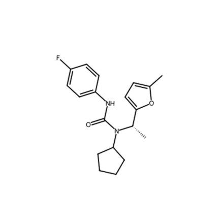 Cc1ccc([C@H](C)N(C(=O)Nc2ccc(F)cc2)C2CCCC2)o1